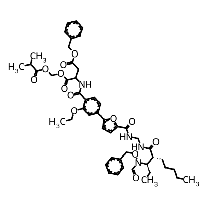 CCCCC[C@@H](C(=O)NCNC(=O)c1ccc(-c2ccc(C(=O)NC(CC(=O)OCc3ccccc3)C(=O)OCOC(=O)C(C)C)c(OCC)c2)o1)[C@@H](CC)N(C=O)OCc1ccccc1